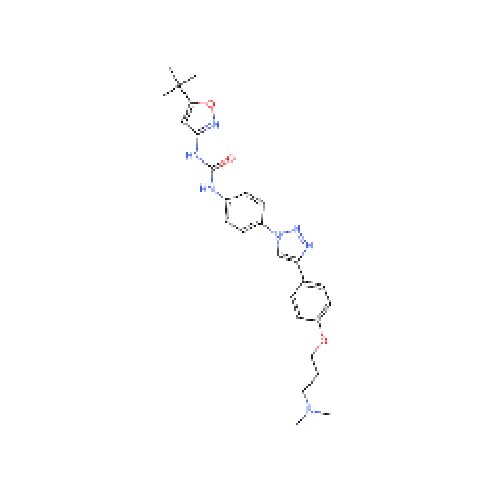 CN(C)CCCOc1ccc(-c2cn(-c3ccc(NC(=O)Nc4cc(C(C)(C)C)on4)cc3)nn2)cc1